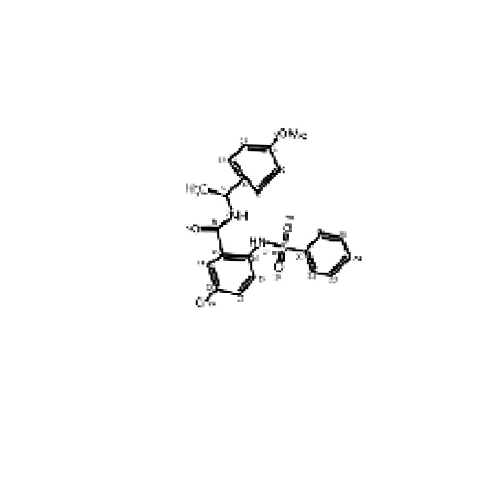 COc1ccc([C@H](C)NC(=O)c2cc(Cl)ccc2NS(=O)(=O)c2ccccc2)cc1